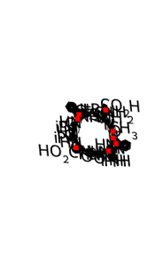 CC(C)C[C@@H]1NC(=O)[C@H](Cc2c[nH]cn2)NC(=O)[C@H](Cc2c[nH]c3ccccc23)NC(=O)[C@H](C)NC(=O)[C@@H](NC(=O)[C@@H](N)CC(=O)O)CSSC[C@@H](C(=O)C(C)(C)C)NC(=O)[C@H](Cc2c[nH]c3ccccc23)NC(=O)[C@H](C(C)C)NC(=O)[C@H](CC(C)C)NC(=O)[C@H](CCC(=O)O)NC(=O)CNC1=O